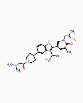 Cc1cc(-c2[nH]c3ccc(C4CCN(C(=O)CN(C)C)CC4)cc3c2C(C)C)cn(CC(C)C)c1=O